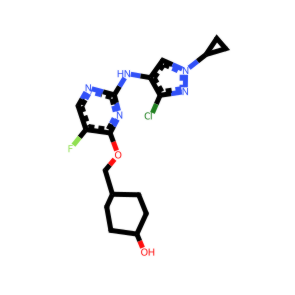 OC1CCC(COc2nc(Nc3cn(C4CC4)nc3Cl)ncc2F)CC1